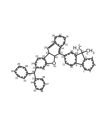 CC1(C)c2ccccc2-c2ccc(C3=c4ccccc4=CC4c5ccc(C(c6ccccc6)c6ccccc6)cc5OC34)cc21